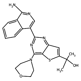 CC(C)(O)c1cc2nc(-c3cnc(N)c4ccccc34)nc(N3CCOCC3)c2s1